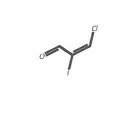 O=C/C(I)=C\Cl